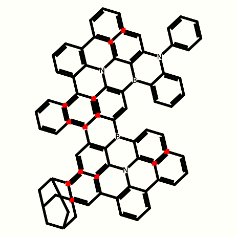 c1ccc(-c2cccc(-c3ccccc3)c2N2c3cc4c(cc3B3c5ccccc5N(c5ccccc5)c5cccc2c53)B2c3ccccc3N(c3c(-c5ccccc5)cccc3-c3ccccc3)c3cc(N5C6CC7CC(C6)CC5C7)cc(c32)N4c2ccccc2)cc1